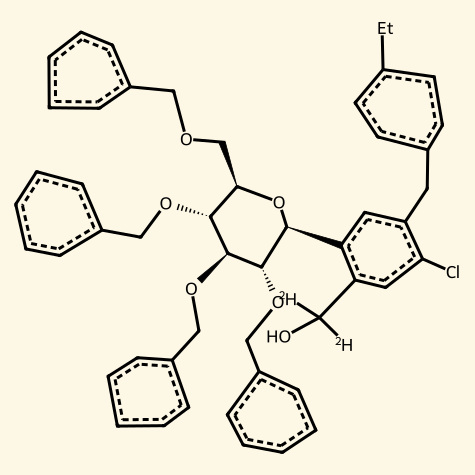 [2H]C([2H])(O)c1cc(Cl)c(Cc2ccc(CC)cc2)cc1[C@@H]1O[C@H](COCc2ccccc2)[C@@H](OCc2ccccc2)[C@H](OCc2ccccc2)[C@H]1OCc1ccccc1